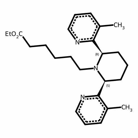 CCOC(=O)CCCCCN1[C@@H](c2ncccc2C)CCC[C@H]1c1ncccc1C